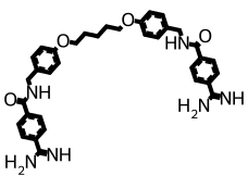 N=C(N)c1ccc(C(=O)NCc2ccc(OCCCCCOc3ccc(CNC(=O)c4ccc(C(=N)N)cc4)cc3)cc2)cc1